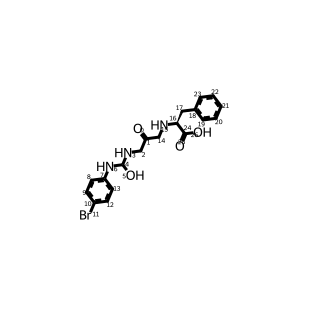 O=C(CNC(O)Nc1ccc(Br)cc1)CN[C@@H](Cc1ccccc1)C(=O)O